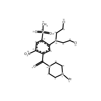 CC(C)N1CCN(C(=O)c2cc(N(CCCl)CCCl)c(S(C)(=O)=O)cc2[N+](=O)[O-])CC1